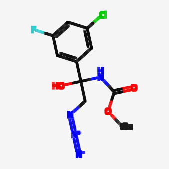 CC(C)(C)OC(=O)NC(O)(CN=[N+]=[N-])c1cc(F)cc(Cl)c1